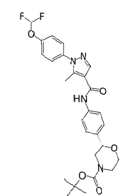 Cc1c(C(=O)Nc2ccc([C@H]3CN(C(=O)OC(C)(C)C)CCO3)cc2)cnn1-c1ccc(OC(F)F)cc1